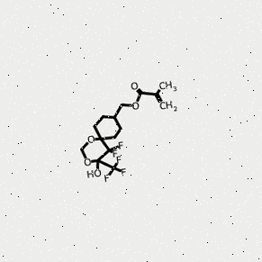 C=C(C)C(=O)OCC1CCC2(CC1)OCOC(O)(C(F)(F)F)C2(F)F